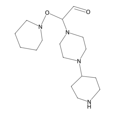 O=CC(ON1CCCCC1)N1CCN(C2CCNCC2)CC1